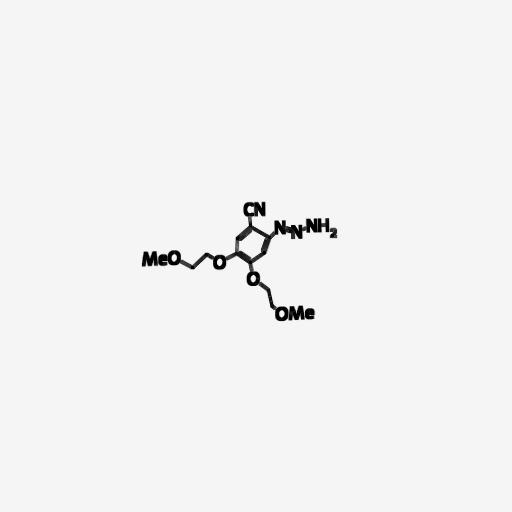 COCCOc1cc(C#N)c(N=NN)cc1OCCOC